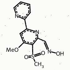 COc1cc(-c2ccccn2)nc(C=NO)c1S(C)(=O)=O